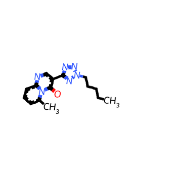 CCCCCn1nnc(-c2cnc3cccc(C)n3c2=O)n1